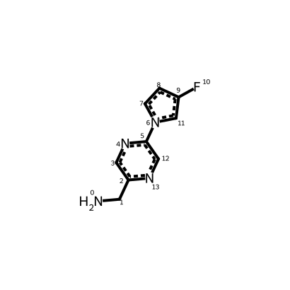 NCc1cnc(-n2ccc(F)c2)cn1